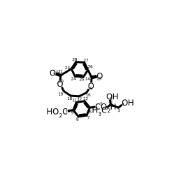 CC(O)CO.O=C(O)c1ccc(C(=O)O)cc1.O=C1OCCCCOC(=O)c2ccc1cc2